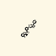 Cn1c(CNc2cccc(C(=O)NC3(c4ncccc4F)CC3)c2)nnc1-c1ccncn1